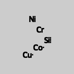 [Co].[Cr].[Cu].[Ni].[Si]